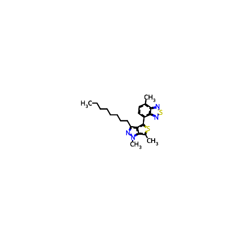 CCCCCCCCc1nn(C)c2c(C)sc(-c3ccc(C)c4nsnc34)c12